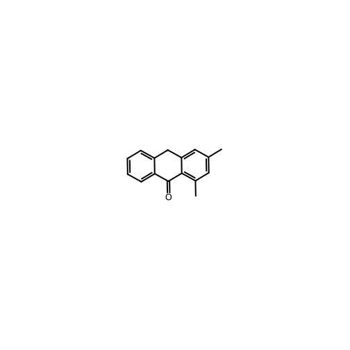 Cc1cc(C)c2c(c1)Cc1ccccc1C2=O